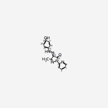 CC1=NN(c2ccccn2)C(=O)/C1=N/Nc1ccc(O)cc1